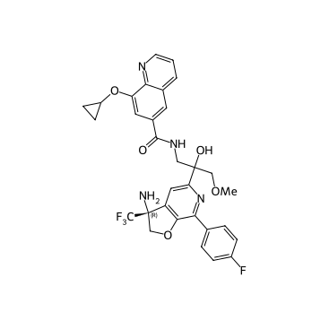 COCC(O)(CNC(=O)c1cc(OC2CC2)c2ncccc2c1)c1cc2c(c(-c3ccc(F)cc3)n1)OC[C@@]2(N)C(F)(F)F